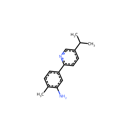 Cc1ccc(-c2ccc(C(C)C)cn2)cc1N